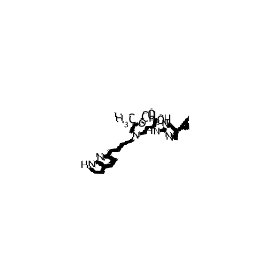 CO[C@H](C)CN(CCCCc1ccc2c(n1)NCCC2)CCC(Nc1ncc(C2CC2)cn1)C(=O)O